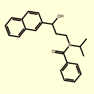 CC(C)N(CCC(O)c1ccc2ccccc2c1)C(=O)c1ccccc1